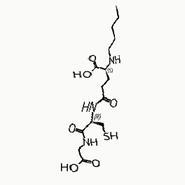 CCCCCN[C@@H](CCC(=O)N[C@@H](CS)C(=O)NCC(=O)O)C(=O)O